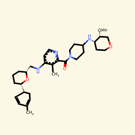 CO[C@@H]1COCC[C@@H]1NC1CCN(C(=O)c2nccc(NC[C@H]3CCC[C@@H](C4C=CC(C)=CC4)O3)c2C)CC1